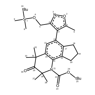 Cc1onc(CO[Si](C)(C)C(C)(C)C)c1-c1cc2c(c3c1CCC3)N(C(=O)OC(C)(C)C)C(C)(C)C(=O)C2(C)C